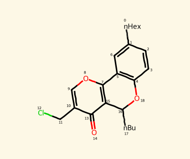 CCCCCCc1ccc2c(c1)-c1occ(CCl)c(=O)c1C(CCCC)O2